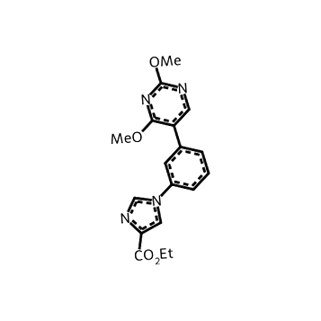 CCOC(=O)c1cn(-c2cccc(-c3cnc(OC)nc3OC)c2)cn1